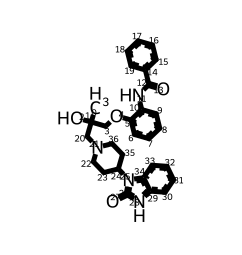 CC(O)(COc1ccccc1NC(=O)c1ccccc1)CN1CCC(n2c(=O)[nH]c3ccccc32)CC1